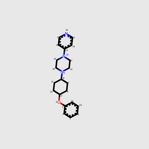 c1ccc(O[C]2CCC(N3CCN(c4ccncc4)CC3)CC2)cc1